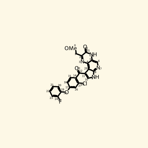 COCc1nc2c(cnc3[nH]cc(C(=O)c4ccc(Oc5ccccc5F)cc4Cl)c32)[nH]c1=O